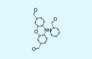 O=Cc1ccc2c(c1)Oc1cc(C=O)ccc1N2.O=Cc1ccccc1